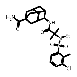 CCN(C(C)(C)C(=O)NC1C2CC3CC1CC(C(N)=O)(C3)C2)S(=O)(=O)c1cccc(Cl)c1C